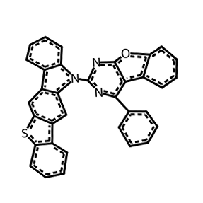 c1ccc(-c2nc(-n3c4ccccc4c4cc5sc6ccccc6c5cc43)nc3oc4ccccc4c23)cc1